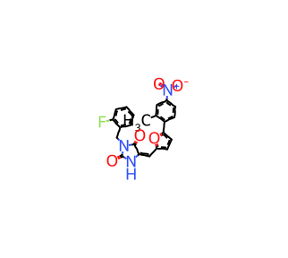 Cc1cc([N+](=O)[O-])ccc1-c1ccc(C=C2NC(=O)N(Cc3ccccc3F)C2=O)o1